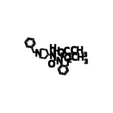 CC(C)(C)OC(=O)N(C(=O)NC1CCN(Cc2ccccc2)CC1)c1ccccc1F